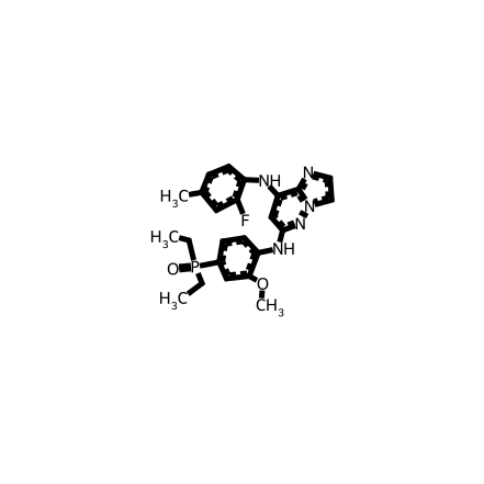 CCP(=O)(CC)c1ccc(Nc2cc(Nc3ccc(C)cc3F)c3nccn3n2)c(OC)c1